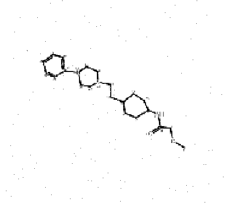 COCC(=O)NC1CCC(CCN2CCN(c3ccccc3)CC2)CC1